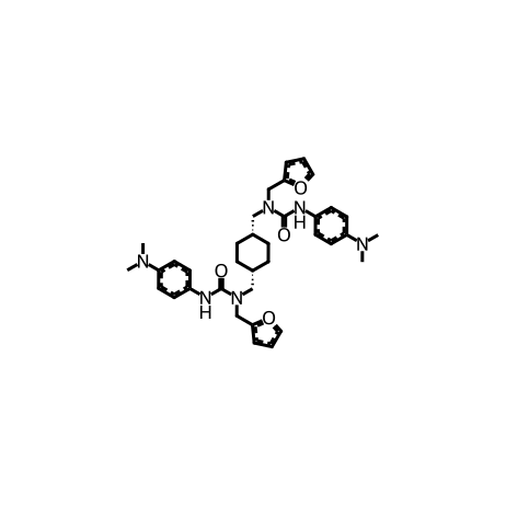 CN(C)c1ccc(NC(=O)N(Cc2ccco2)C[C@H]2CC[C@@H](CN(Cc3ccco3)C(=O)Nc3ccc(N(C)C)cc3)CC2)cc1